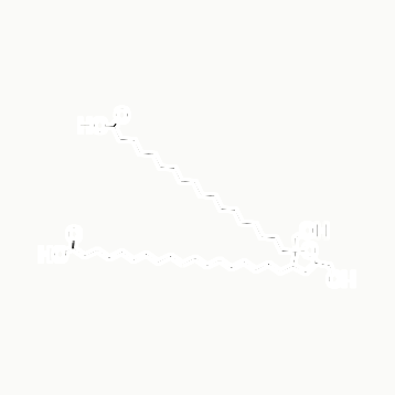 O=C(O)CCCCCCCCCCCCCCCCCC1CC(CO)OC1(CO)CCCCCCCCCCCCCCCCCC(=O)O